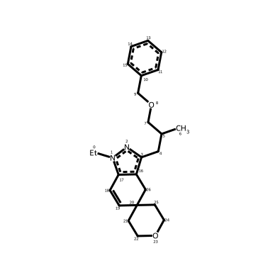 CCn1nc(CC(C)COCc2ccccc2)c2c1C=CC1(CCOCC1)C2